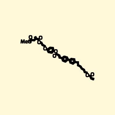 C=CC(=O)OCCCCCCCc1ccc(-c2ccc(/C=C/C(=O)Oc3ccc(OCCCOC(=O)C(=C)CC(=O)OC)cc3)cc2)cc1